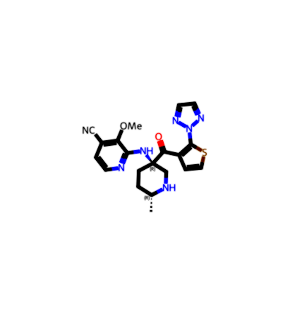 COc1c(C#N)ccnc1N[C@]1(C(=O)c2ccsc2-n2nccn2)CC[C@@H](C)NC1